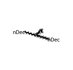 CCCCCCCCCCCCCCCCC=CN(C=CCCCCCCCCCCCCCCCC)CCCN(C)C